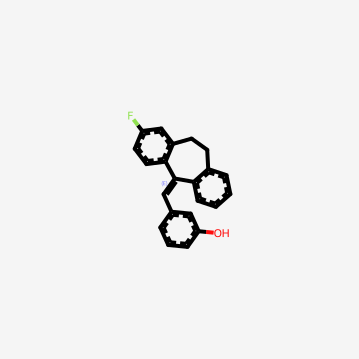 Oc1cccc(/C=C2\c3ccccc3CCc3cc(F)ccc32)c1